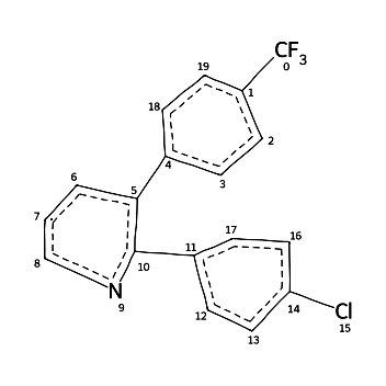 FC(F)(F)c1ccc(-c2c[c]cnc2-c2ccc(Cl)cc2)cc1